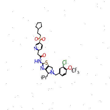 CC(C)[C@H]1c2nc(NC(=O)Cc3ccc(S(=O)(=O)CCC4CCCC4)cn3)sc2CN1Cc1ccc(OC(F)(F)F)c(Cl)c1